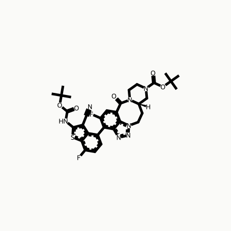 CC(C)(C)OC(=O)Nc1sc2c(F)ccc(-c3c(F)cc4c5c3nnn5CC[C@H]3CN(C(=O)OC(C)(C)C)CCN3C4=O)c2c1C#N